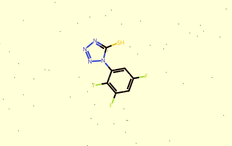 Fc1cc(F)c(F)c(-n2nnnc2S)c1